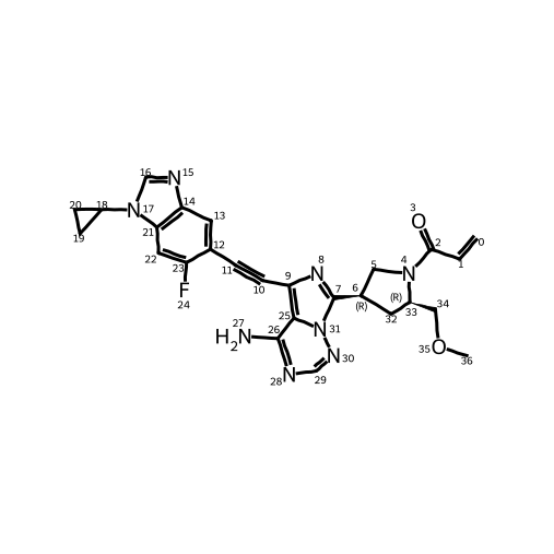 C=CC(=O)N1C[C@H](c2nc(C#Cc3cc4ncn(C5CC5)c4cc3F)c3c(N)ncnn23)C[C@@H]1COC